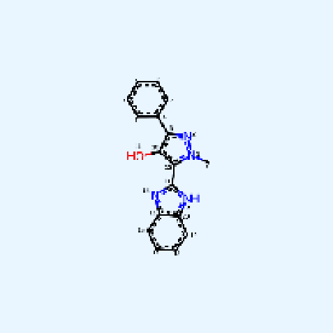 Cn1nc(-c2ccccc2)c(O)c1-c1nc2ccccc2[nH]1